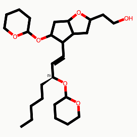 CCCCC[C@@H](C=CC1C(OC2CCCCO2)CC2OC(CCO)CC21)OC1CCCCO1